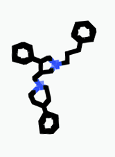 c1ccc(CCCN2CC(CN3CCC(c4ccccc4)CC3)C(c3ccccc3)C2)cc1